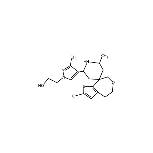 Cc1nn(CCO)cc1C1CC2(COCCc3cc(Cl)sc32)CC(C)N1